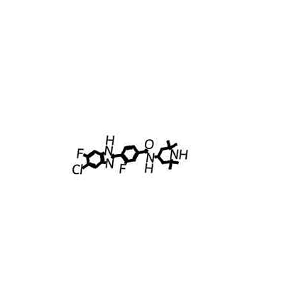 CC1(C)CC(NC(=O)c2ccc(-c3nc4cc(Cl)c(F)cc4[nH]3)c(F)c2)CC(C)(C)N1